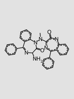 CN(c1nc(-c2ccccc2)c2ccccc2nc1=O)N1C(=O)C(N)N=C(c2ccccc2)c2ccccc21